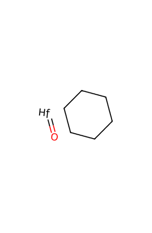 C1CCCCC1.[O]=[Hf]